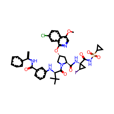 C=C(NC(=O)c1cccc(N[C@@H](C(=O)N2C[C@H](Oc3ncc(OC)c4ccc(Cl)cc34)C[C@H]2C(=O)N[C@]2(C(=O)NS(=O)(=O)C3CC3)C[C@H]2I)C(C)(C)C)c1)c1ccccc1